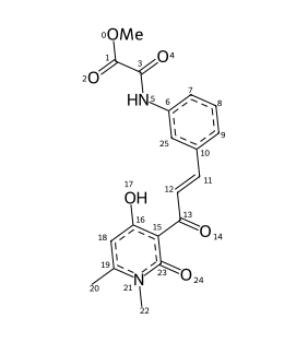 COC(=O)C(=O)Nc1cccc(/C=C/C(=O)c2c(O)cc(C)n(C)c2=O)c1